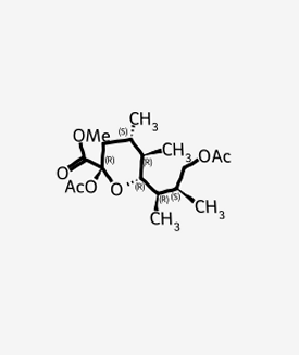 COC(=O)[C@]1(OC(C)=O)C[C@H](C)[C@@H](C)[C@H]([C@H](C)[C@H](C)COC(C)=O)O1